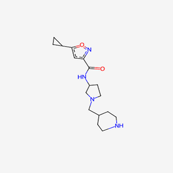 O=C(NC1CCN(CC2CCNCC2)C1)c1cc(C2CC2)on1